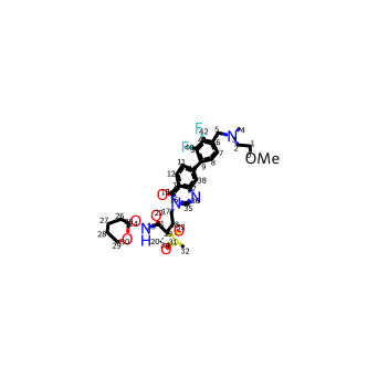 COCCN(C)Cc1ccc(-c2ccc3c(=O)n(CC[C@](C)(C(=O)NOC4CCCCO4)S(C)(=O)=O)cnc3c2)c(F)c1F